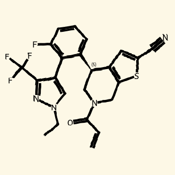 C=CC(=O)N1Cc2sc(C#N)cc2[C@H](c2cccc(F)c2-c2cn(CC)nc2C(F)(F)F)C1